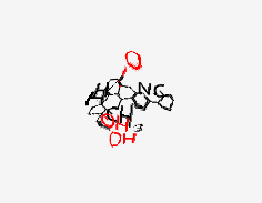 C[C@]12CC3c4ccc(-c5ccccc5C#N)cc4C[C@]45CCC(=O)C=C4CC[C@H](C35)[C@@H]1CC[C@@]2(O)/C=C\CO